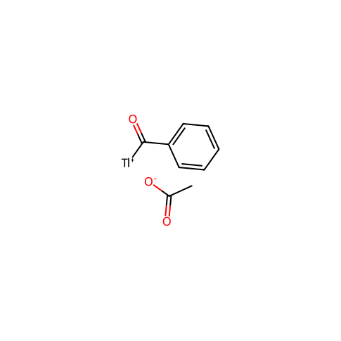 CC(=O)[O-].O=[C]([Tl+])c1ccccc1